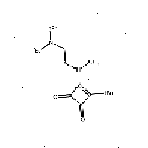 CCCN(CC)CCN(C)c1c(C(C)(C)C)c(=O)c1=O